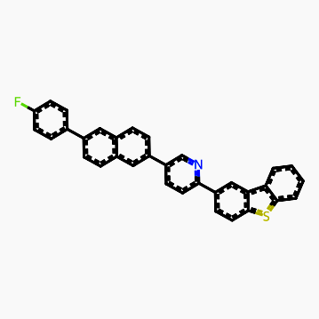 Fc1ccc(-c2ccc3cc(-c4ccc(-c5ccc6sc7ccccc7c6c5)nc4)ccc3c2)cc1